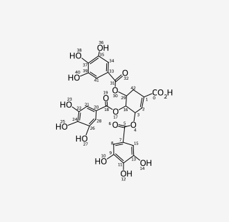 O=C(O)C1=CC(OC(=O)c2cc(O)c(O)c(O)c2)C(OC(=O)c2cc(O)c(O)c(O)c2)C(OC(=O)c2cc(O)c(O)c(O)c2)C1